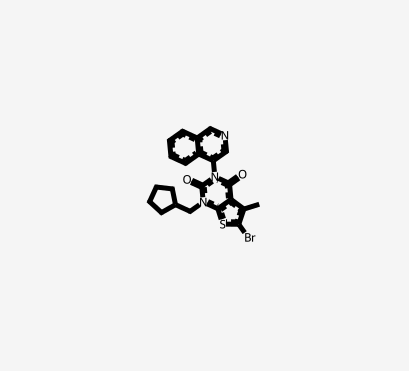 Cc1c(Br)sc2c1c(=O)n(-c1cncc3ccccc13)c(=O)n2CC1CCCC1